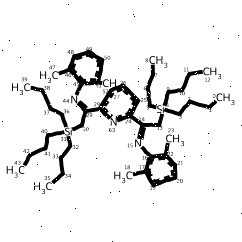 CCCC[Si](CCCC)(CCCC)CC(=Nc1c(C)cccc1C)c1cccc(C(C[Si](CCCC)(CCCC)CCCC)=Nc2c(C)cccc2C)n1